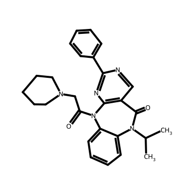 CC(C)N1C(=O)c2cnc(-c3ccccc3)nc2N(C(=O)CN2CCCCC2)c2ccccc21